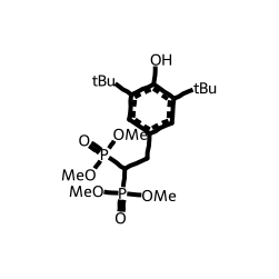 COP(=O)(OC)C(Cc1cc(C(C)(C)C)c(O)c(C(C)(C)C)c1)P(=O)(OC)OC